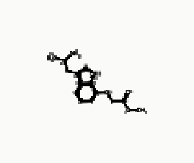 COC(=O)COc1cccc2c(CC(C)N)c[nH]c12